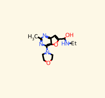 CCNC(O)c1cc2nc(C)nc(N3CCOCC3)c2o1